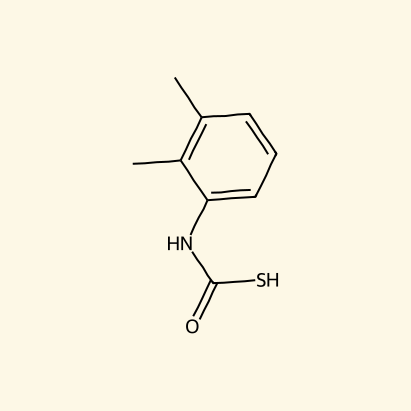 Cc1cccc(NC(=O)S)c1C